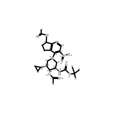 CC(=O)OC1CCc2c1ncc([N+](=O)[O-])c2N1C[C@H](C2CC2)[C@@H](OC(C)=O)[C@H](NC(=O)OC(C)(C)C)C1